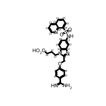 N=C(N)c1ccc(OCc2nc3cc(NS(=O)(=O)c4cccc5cccnc45)ccc3n2CCCC(=O)O)cc1